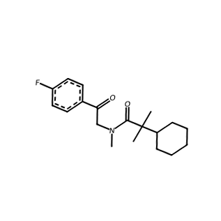 CN(CC(=O)c1ccc(F)cc1)C(=O)C(C)(C)C1CCCCC1